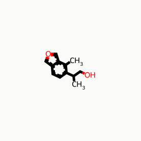 Cc1c(C(C)CO)ccc2cocc12